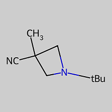 CC1(C#N)CN(C(C)(C)C)C1